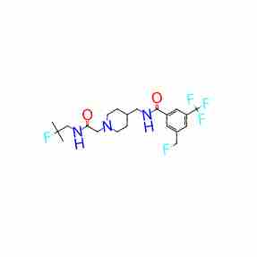 CC(C)(F)CNC(=O)CN1CCC(CNC(=O)c2cc(CF)cc(C(F)(F)F)c2)CC1